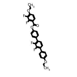 CCOc1ccc(-c2ccc(-c3ccc(OC(=O)c4ccc(OCC)c(F)c4F)cc3)c(F)c2F)cc1